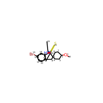 COC1CCC2(CC1)Cc1ccc(Br)cc1C21N=C(C)C(=S)N1